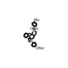 COc1ccc(-n2ncc3c2C=C2CCN(S(=O)(=O)c4ccc(C(C)(C)C)cc4)C[C@@]2(Cc2ccccc2)C3)cc1